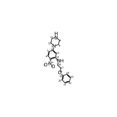 O=[N+]([O-])c1ccc(N2CCNCC2)cc1NCCOc1ccccc1